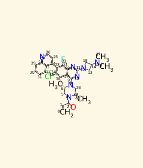 C=CC(=O)N1C[C@H](C)N(c2nc(N3CC(N(C)C)C3)nc3c(F)c(-c4ccnc5ccccc45)c(Cl)cc23)C[C@H]1C